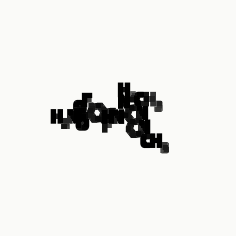 Cc1ccc2c(NCc3cc(F)c(S(N)(=O)=O)cc3F)c(N)c(C)nc2n1